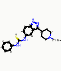 CCCCCCN1CCC(c2n[nH]c3ccc(NC(=S)Nc4ccccc4)cc23)CC1